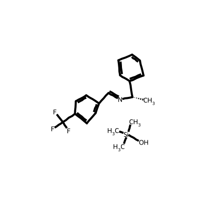 C[C@H](N=Cc1ccc(C(F)(F)F)cc1)c1ccccc1.C[Si](C)(C)O